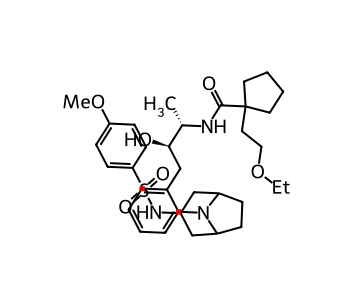 CCOCCC1(C(=O)N[C@@H](C)[C@H](O)Cc2ccccc2N2C3CCC2CC(NS(=O)(=O)c2ccc(OC)cc2)C3)CCCC1